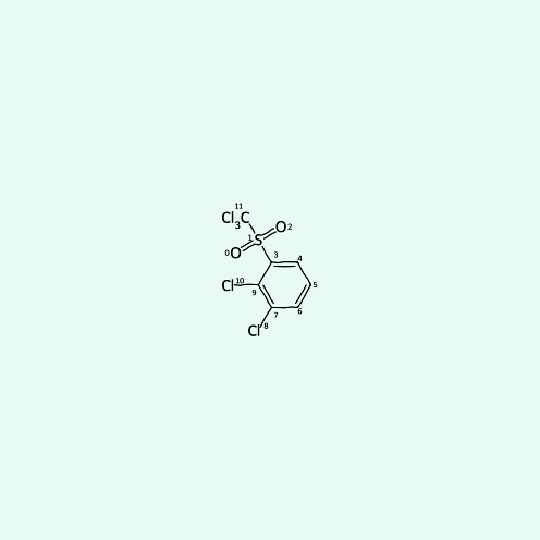 O=S(=O)(c1cccc(Cl)c1Cl)C(Cl)(Cl)Cl